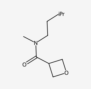 CC(C)CCN(C)C(=O)C1COC1